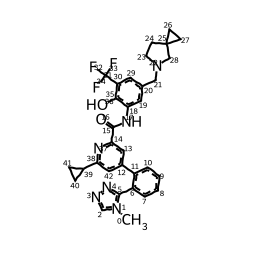 Cn1cnnc1-c1ccccc1-c1cc(C(=O)Nc2cc(CN3CCC4(CC4)C3)cc(C(F)(F)F)c2O)nc(C2CC2)c1